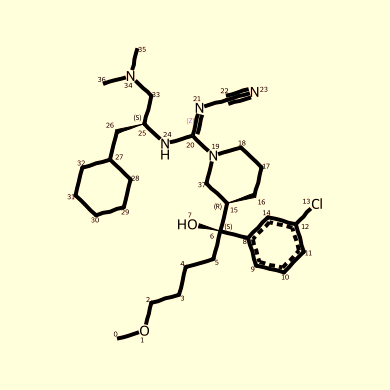 COCCCC[C@@](O)(c1cccc(Cl)c1)[C@@H]1CCCN(/C(=N\C#N)N[C@@H](CC2CCCCC2)CN(C)C)C1